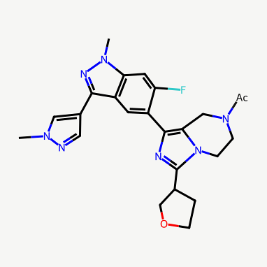 CC(=O)N1CCn2c(C3CCOC3)nc(-c3cc4c(-c5cnn(C)c5)nn(C)c4cc3F)c2C1